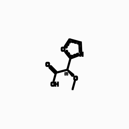 CO[C@@H](C(=O)O)c1ncco1